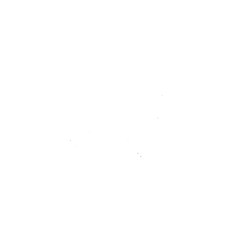 N#CC1(CCO)CCC2(CC1)OCCO2